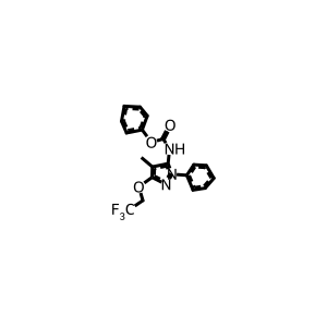 Cc1c(OCC(F)(F)F)nn(-c2ccccc2)c1NC(=O)Oc1ccccc1